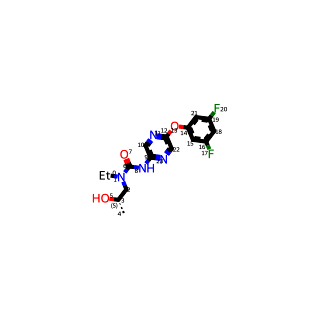 CCN(C[C@H](C)O)C(=O)Nc1cnc(Oc2cc(F)cc(F)c2)cn1